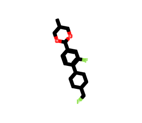 CC1COC(c2ccc(C3CCC(CF)CC3)c(F)c2)OC1